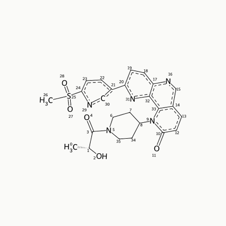 C[C@@H](O)C(=O)N1CCC(n2c(=O)ccc3cnc4ccc(-c5ccc(S(C)(=O)=O)nc5)nc4c32)CC1